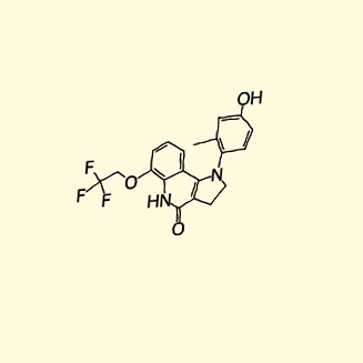 Cc1cc(O)ccc1N1CCc2c1c1cccc(OCC(F)(F)F)c1[nH]c2=O